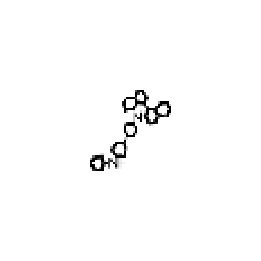 c1ccc(Nc2ccc(-c3ccc(N4c5ccc6ccccc6c5-c5cccc6cccc4c56)cc3)cc2)cc1